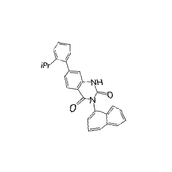 CC(C)c1ccccc1-c1ccc2c(=O)n(-c3cccc4ccccc34)c(=O)[nH]c2c1